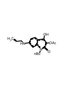 C=CCNc1ccc2c(O)c(OC(C)=O)c(=O)n(CCCC)c2c1